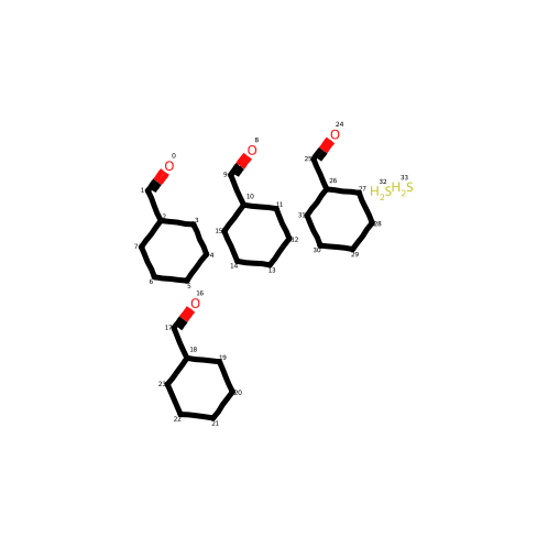 O=CC1CCCCC1.O=CC1CCCCC1.O=CC1CCCCC1.O=CC1CCCCC1.S.S